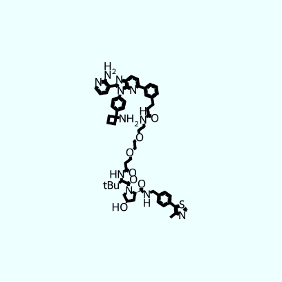 Cc1ncsc1-c1ccc(CNC(=O)[C@@H]2C[C@@H](O)CN2C(=O)C(NC(=O)CCOCCOCCNC(=O)CCc2cccc(-c3ccc4nc(-c5cccnc5N)n(-c5ccc(C6(N)CCC6)cc5)c4n3)c2)C(C)(C)C)cc1